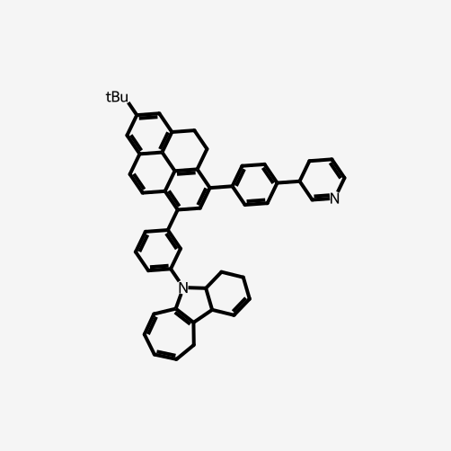 CC(C)(C)c1cc2c3c(ccc4c(-c5cccc(N6C7=C(CC=CC=C7)C7C=CCCC76)c5)cc(-c5ccc(C6C=NC=CC6)cc5)c(c43)CC2)c1